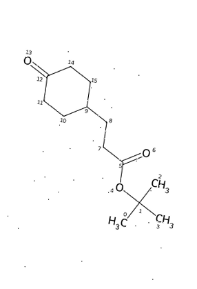 CC(C)(C)OC(=O)CCC1CCC(=O)CC1